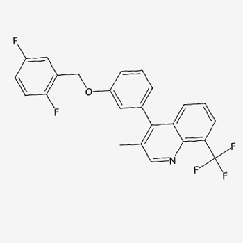 Cc1cnc2c(C(F)(F)F)cccc2c1-c1cccc(OCc2cc(F)ccc2F)c1